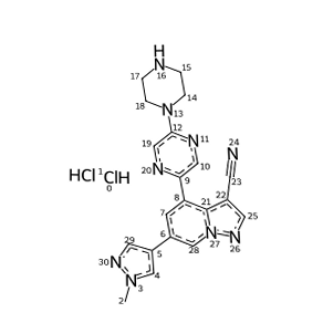 Cl.Cl.Cn1cc(-c2cc(-c3cnc(N4CCNCC4)cn3)c3c(C#N)cnn3c2)cn1